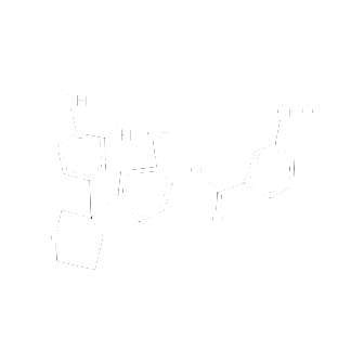 Cc1cc(C2(c3ccc(OC(=O)c4cccc(C=O)c4)c(C)c3)CCCCC2)ccc1O